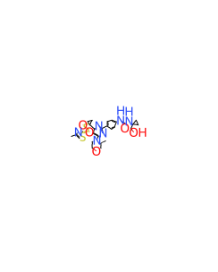 Cc1csc(S(=O)(=O)C2(c3cc(N4CCOC[C@@H]4C)nc(-c4ccc(NC(=O)NC5(CO)CC5)cc4)n3)CC2)n1